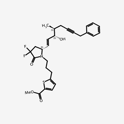 COC(=O)c1ccc(CCCN2C(=O)C(F)(F)C[C@@H]2C=C[C@@H](O)[C@@H](C)CC#CCc2ccccc2)s1